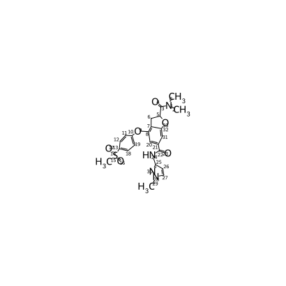 CN(C)C(=O)C1Cc2c(Oc3ccc(S(C)(=O)=O)cc3)cc(C(=O)Nc3ccn(C)n3)cc2O1